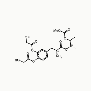 COC(=O)OC(C)[C@H](C)OC(=O)[C@@H](N)Cc1ccc(OC(=O)CC(C)(C)C)c(OC(=O)CC(C)(C)C)c1